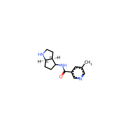 Cc1cncc(C(=O)NC2CC[C@H]3NCC[C@@H]23)c1